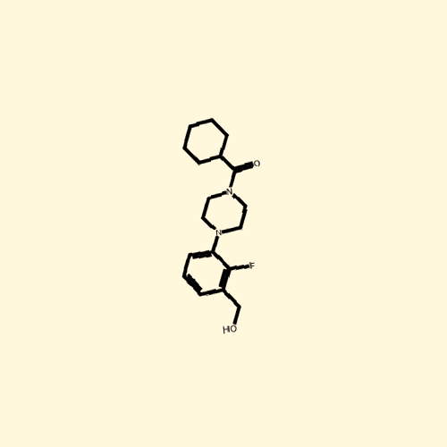 O=C(C1CCCCC1)N1CCN(c2cccc(CO)c2F)CC1